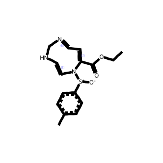 CCOC(=O)/C1=C/C=N/CN/C=C/N1[S+]([O-])c1ccc(C)cc1